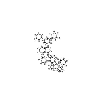 c1ccc(-c2cc(-c3ccc(-n4c5ccccc5c5cc6c(cc54)Sc4ccccc4C64c5ccccc5-c5ccccc54)c4ccccc34)cc(-c3ccccc3)n2)cc1